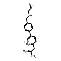 C=CCNCc1ccc(C(/C=C\C(=C)CC(=C)C)=C/C)cc1